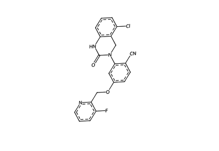 N#Cc1ccc(OCc2ncccc2F)cc1N1Cc2c(Cl)cccc2NC1=O